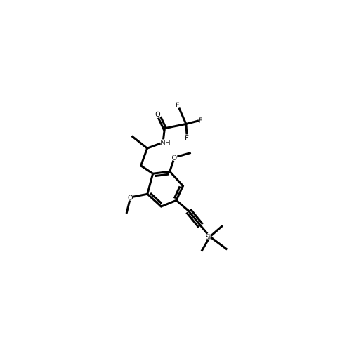 COc1cc(C#C[Si](C)(C)C)cc(OC)c1CC(C)NC(=O)C(F)(F)F